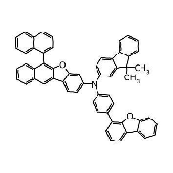 CC1(C)c2ccccc2-c2ccc(N(c3ccc(-c4cccc5c4oc4ccccc45)cc3)c3ccc4c(c3)oc3c(-c5cccc6ccccc56)c5ccccc5cc34)cc21